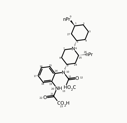 CCC[C@H]1CCC[C@H](N2CC[C@@H](N(C(=O)C(=O)O)c3ccccc3NC(=O)C(=O)O)C[C@H]2CCC)C1